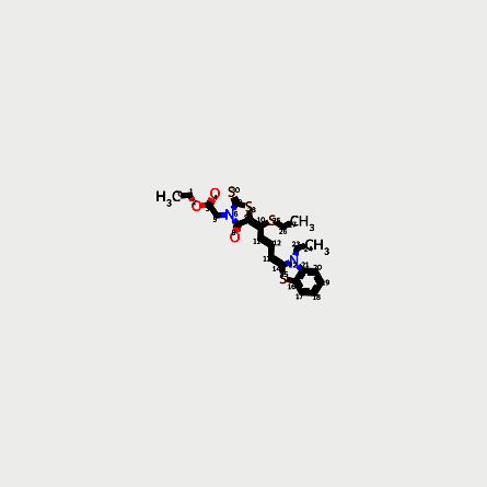 CCOC(=O)CN1C(=O)C(=C(C=CC=C2Sc3ccccc3N2CC)SCC)SC1=S